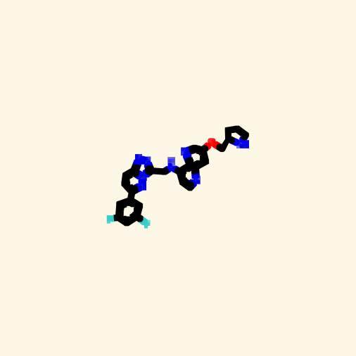 Fc1cc(F)cc(-c2ccc3nnc(CNc4ccnc5cc(OC[C@H]6CCCN6)cnc45)n3n2)c1